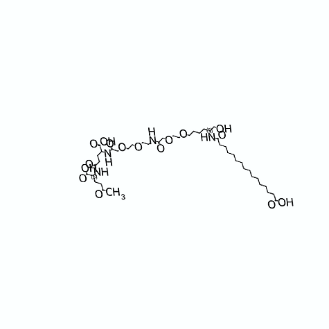 CC(=O)CC[C@H](NC(=O)CCC(NC(=O)COCCOCCNC(=O)COCCOCCCC[C@@H](CO)NC(=O)CCCCCCCCCCCCCCC(=O)O)C(=O)O)C(=O)O